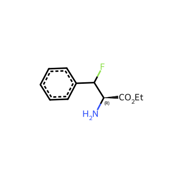 CCOC(=O)[C@@H](N)C(F)c1ccccc1